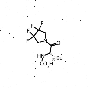 CC[C@@H](C)C(NC(=O)O)C(=O)N1CC(F)(F)C(F)(F)C1